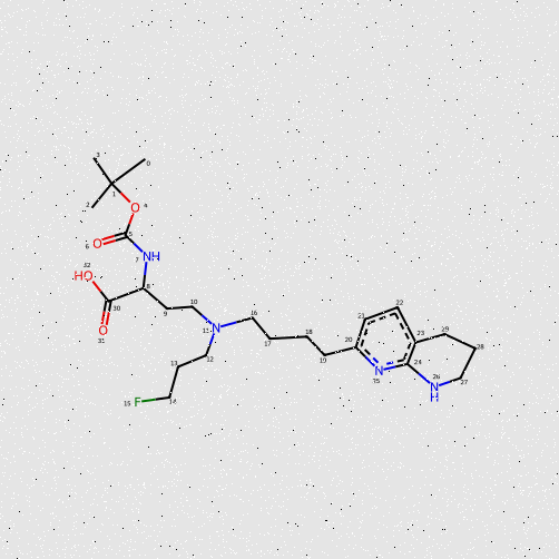 CC(C)(C)OC(=O)NC(CCN(CCCF)CCCCc1ccc2c(n1)NCCC2)C(=O)O